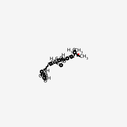 CCC12CC(C3=C(CN4CCN(c5ccc(C(=O)NS(=O)(=O)c6ccc(N[C@H](CCN7CCN(CCCCCNc8cccc9c8C(=O)N(C8CCC(=O)NC8=O)C9=O)CC7)CSc7ccccc7)c(C)c6)cc5)CC4)CCC(C)(C)C3)(C1)C2